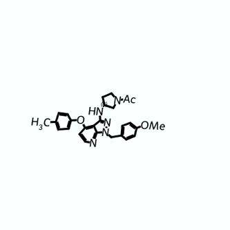 COc1ccc(Cn2nc(N[C@@H]3CCN(C(C)=O)C3)c3c(Oc4ccc(C)cc4)ccnc32)cc1